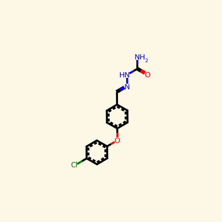 NC(=O)NN=Cc1ccc(Oc2ccc(Cl)cc2)cc1